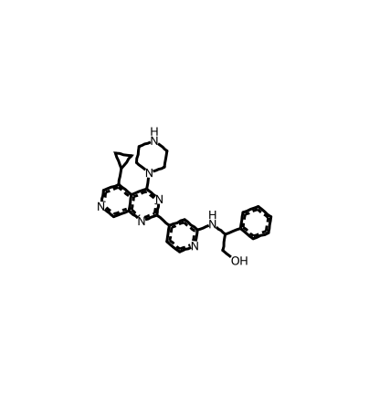 OCC(Nc1cc(-c2nc(N3CCNCC3)c3c(C4CC4)cncc3n2)ccn1)c1ccccc1